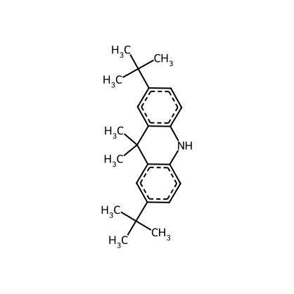 CC(C)(C)c1ccc2c(c1)C(C)(C)c1cc(C(C)(C)C)ccc1N2